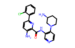 Nc1ccc(-c2ccccc2Cl)nc1C(=O)Nc1cnccc1N1CCC[C@H](N)C1